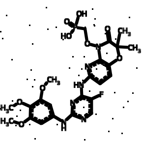 COc1cc(Nc2ncc(F)c(Nc3ccc4c(n3)N(OCP(=O)(O)O)C(=O)C(C)(C)O4)n2)cc(OC)c1OC